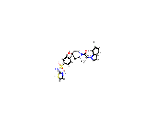 C[C@H](C(=O)N1CCC(O)(c2ccc(S(=O)(=O)Nc3nccs3)cc2)CC1)n1ccc2ccc(Cl)cc21